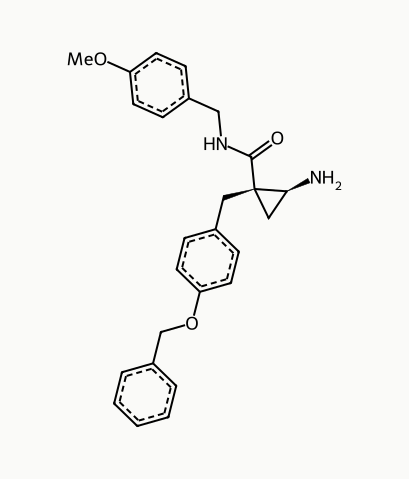 COc1ccc(CNC(=O)[C@@]2(Cc3ccc(OCc4ccccc4)cc3)C[C@@H]2N)cc1